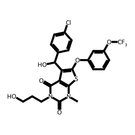 Cn1c(=O)n(CCCO)c(=O)c2c(C(O)c3ccc(Cl)cc3)c(Oc3cccc(OC(F)(F)F)c3)sc21